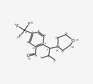 CC(C)C(c1ccc(C(F)(F)F)cc1C=O)N1CCOCC1